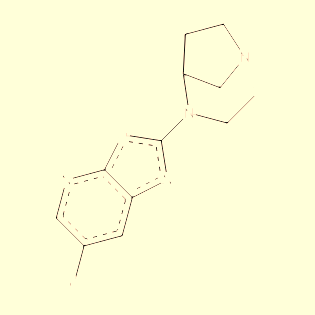 Clc1cnc2oc(N3CC[N@@]4CCC3C4)nc2c1